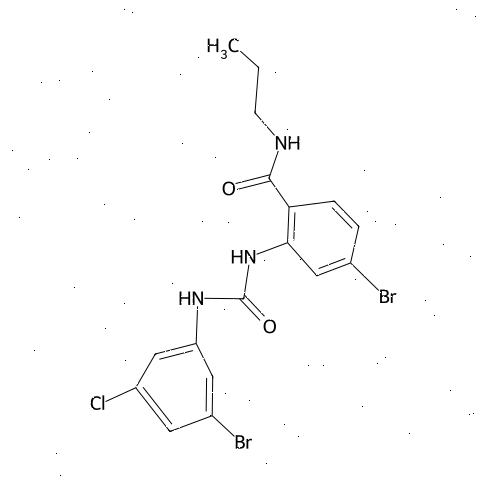 CCCNC(=O)c1ccc(Br)cc1NC(=O)Nc1cc(Cl)cc(Br)c1